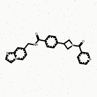 O=C(NCc1ccn2ccnc2c1)c1ccc(C2CN(C(=O)c3cccnc3)C2)cc1